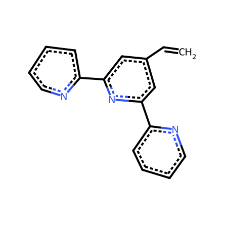 C=Cc1cc(-c2ccccn2)nc(-c2ccccn2)c1